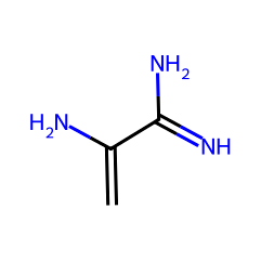 C=C(N)C(=N)N